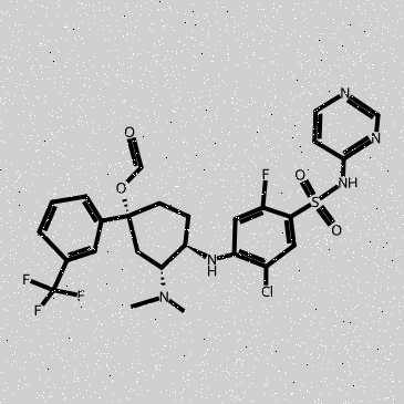 CN(C)[C@@H]1C[C@@](OC=O)(c2cccc(C(F)(F)F)c2)CC[C@H]1Nc1cc(F)c(S(=O)(=O)Nc2ccncn2)cc1Cl